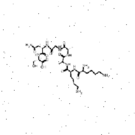 C[C@H](NC(=O)[C@H](C)NC(=O)[C@H](CCCCN)NC(=O)[C@@H](N)CCCCN)C(=O)NCC(=O)N[C@@H](CC(N)=O)C(=O)N[C@@H](CO)C(=O)O